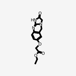 CCOC(=O)COc1ccc2c(c1)CN1CC(=O)NC1=N2